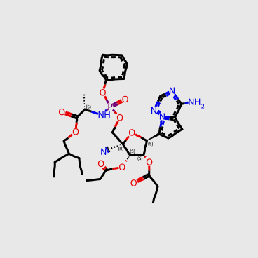 CCC(=O)O[C@H]1[C@H](c2ccc3c(N)ncnn23)O[C@](C#N)(COP(=O)(N[C@@H](C)C(=O)OCC(CC)CC)Oc2ccccc2)[C@H]1OC(=O)CC